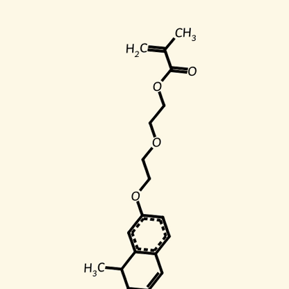 C=C(C)C(=O)OCCOCCOc1ccc2c(c1)C(C)CC=C2